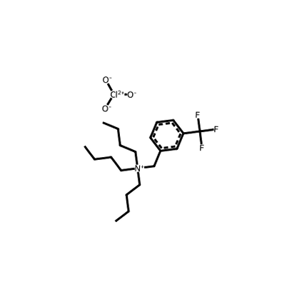 CCCC[N+](CCCC)(CCCC)Cc1cccc(C(F)(F)F)c1.[O-][Cl+2]([O-])[O-]